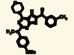 COc1ccc(N(C)c2nc(N3CCOCC3)c3[nH]c(C(=O)c4cccc(C)c4)nc3n2)cc1